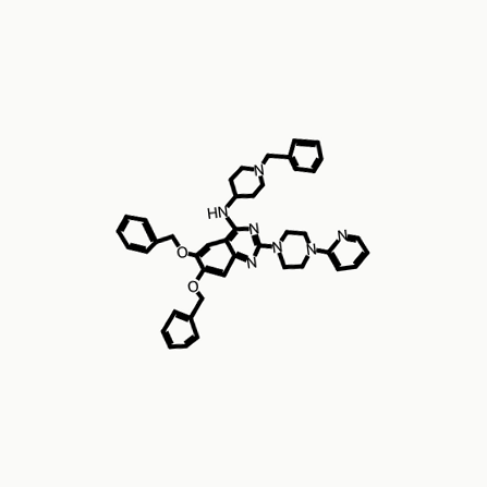 c1ccc(COc2cc3nc(N4CCN(c5ccccn5)CC4)nc(NC4CCN(Cc5ccccc5)CC4)c3cc2OCc2ccccc2)cc1